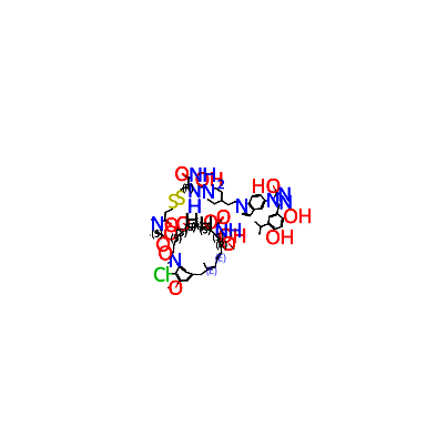 COc1cc2cc(c1Cl)N(C)C(=O)C[C@H](OC(=O)[C@H](C)N(C)C(=O)CCSSC[C@H](NC(O)N1CCC(CCn3ccc4cc(-n5c(O)nnc5-c5cc(C(C)C)c(O)cc5O)ccc43)CC1)C(N)=O)[C@]1(C)O[C@H]1[C@H](C)[C@@H]1C[C@@](O)(NC(=O)O1)[C@H](OC)/C=C/C=C(\C)C2